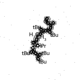 CC(C)c1ccc(N(c2ccc3c4cc(C(C)(C)C)cc5c6cc7c(cc6n(c3c2)c45)c2cc(C(C)(C)C)cc3c4cc(C(C)(C)C)ccc4n7c32)c2cccc3c2oc2ccc(CC(C)(C)c4ccc5c(c4)c4cc(C(C)(C)C)cc6c7cc8c(cc7n5c46)c4cc(C(C)(C)C)cc5c6ccc(N(c7ccccc7)c7ccc9oc%10ccccc%10c9c7)cc6n8c54)cc23)cc1